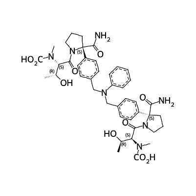 C[C@@H](O)[C@@H](C(=O)N1CCC[C@@]1(C(N)=O)c1ccc(CN(Cc2ccc([C@]3(C(N)=O)CCCN3C(=O)[C@H]([C@@H](C)O)N(C)C(=O)O)cc2)c2ccccc2)cc1)N(C)C(=O)O